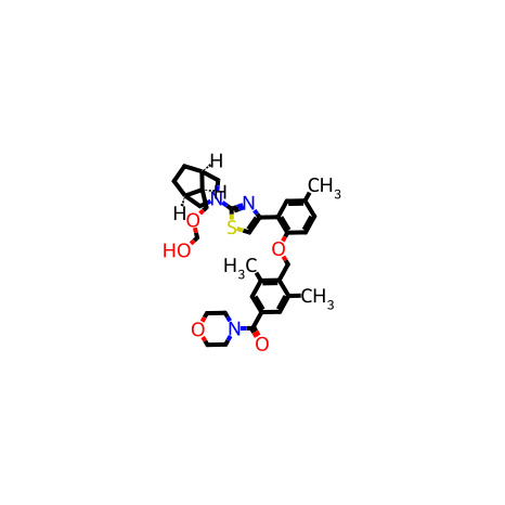 Cc1ccc(OCc2c(C)cc(C(=O)N3CCOCC3)cc2C)c(-c2csc(N3C[C@H]4CC[C@@H](C3)[C@H]4COCO)n2)c1